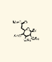 COC(=O)CC1OC(Br)C(OC(C)=O)C(OC(C)=O)C1OC(C)=O